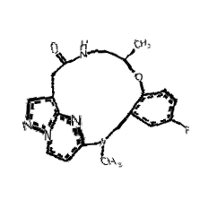 C[C@@H]1CNC(=O)Cc2cnn3ccc(nc23)N(C)Cc2cc(F)ccc2O1